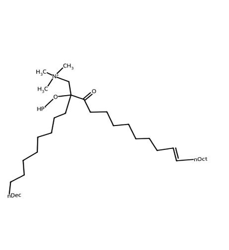 CCCCCCCCC=CCCCCCCCC(=O)C(CCCCCCCCCCCCCCCCCC)(C[N+](C)(C)C)O[PH-]